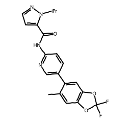 Cc1cc2c(cc1-c1ccc(NC(=O)c3ccnn3C(C)C)nc1)OC(F)(F)O2